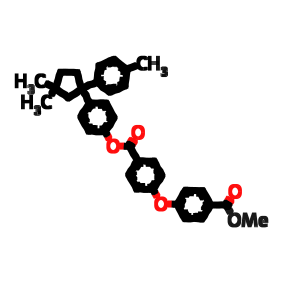 COC(=O)c1ccc(Oc2ccc(C(=O)Oc3ccc(C4(c5ccc(C)cc5)CCC(C)(C)C4)cc3)cc2)cc1